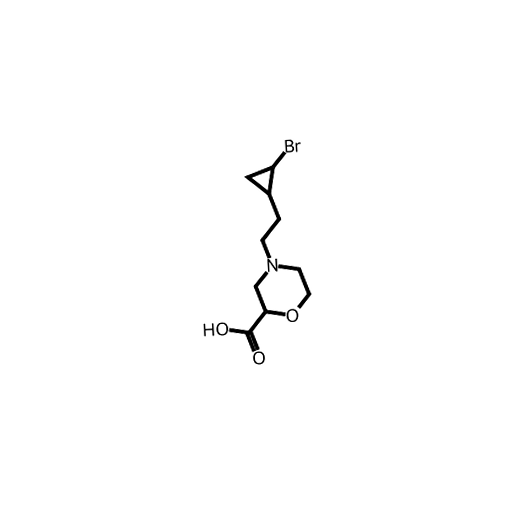 O=C(O)C1CN(CCC2CC2Br)CCO1